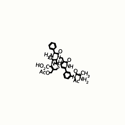 CC(=O)OCC1=C(C(=O)O)N2C(=O)C(N(Cc3ccc(-c4cccc(N(C(C)=O)C(=O)[C@@H](C)N)c4)[nH]c3=O)C(=O)C(N)c3ccccc3)[C@@H]2SC1